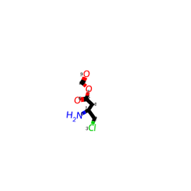 NC(CCl)CC(=O)OC=O